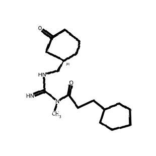 CN(C(=N)NC[C@@H]1CCCC(=O)C1)C(=O)CCC1CCCCC1